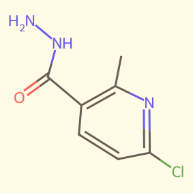 Cc1nc(Cl)ccc1C(=O)NN